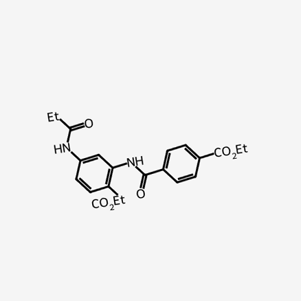 CCOC(=O)c1ccc(C(=O)Nc2cc(NC(=O)CC)ccc2C(=O)OCC)cc1